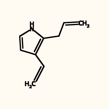 C=CCc1[nH]ccc1C=C